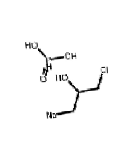 O=[PH](O)O.OC([CH2][Na])CCl